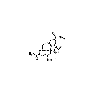 CC(C)n1oc(=O)nc1C1(CCN)c2ccc(C(N)=O)cc2CCc2cc(C(N)=O)ccc21